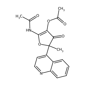 CC(=O)NC1=C(OC(C)=O)C(=O)C(C)(c2ccnc3ccccc23)O1